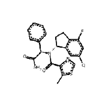 Cc1scnc1C(=O)N([C@@H]1CCc2c(F)cc(Cl)cc21)[C@@H](C(N)=O)c1ccccc1